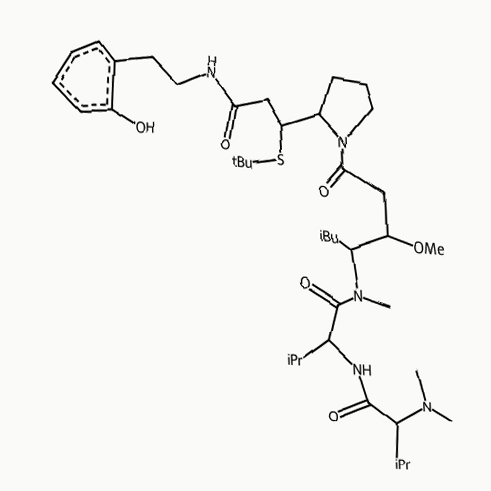 CCC(C)C(C(CC(=O)N1CCCC1C(CC(=O)NCCc1ccccc1O)SC(C)(C)C)OC)N(C)C(=O)C(NC(=O)C(C(C)C)N(C)C)C(C)C